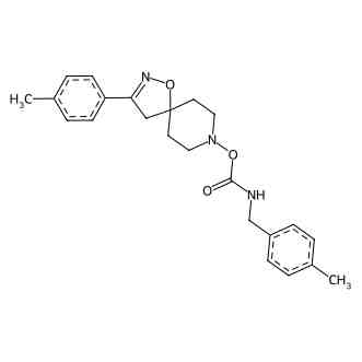 Cc1ccc(CNC(=O)ON2CCC3(CC2)CC(c2ccc(C)cc2)=NO3)cc1